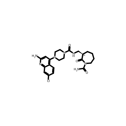 NC(=O)N1CCCC[C@H](CNC(=O)N2CCN(c3cc(N)nc4cc(Cl)ccc34)CC2)C1=O